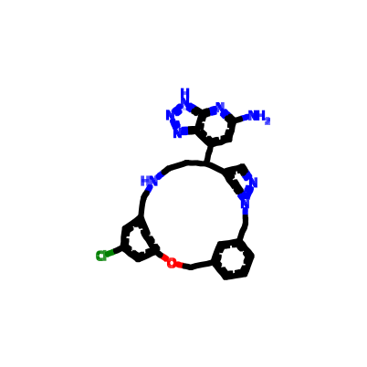 Nc1cc(C2CCNCc3cc(Cl)cc(c3)OCc3cccc(c3)Cn3cc2cn3)c2nn[nH]c2n1